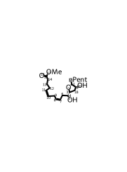 CCCCCC1O[C@@H](C(O)C/C=C\C/C=C\CCCC(=O)OC)C[C@H]1O